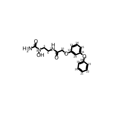 NC(=O)N(O)CCNC(=O)COc1cccc(Oc2ccccc2)c1